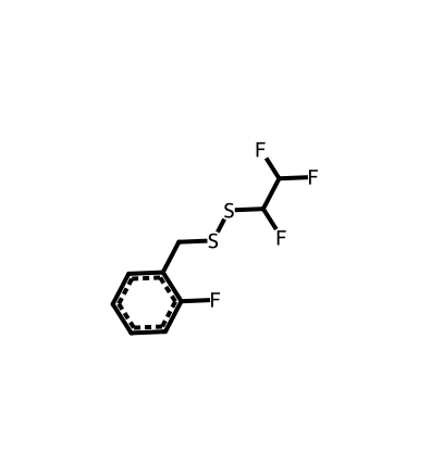 Fc1ccccc1CSSC(F)C(F)F